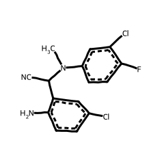 CN(c1ccc(F)c(Cl)c1)C(C#N)c1cc(Cl)ccc1N